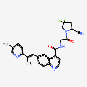 C/C(=C\c1ccc2nccc(C(=O)NCC(=O)N3CC(F)(F)CC3C#N)c2c1)c1ccc(C)cn1